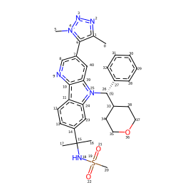 Cc1nnn(C)c1-c1cnc2c3ccc(C(C)(C)NS(C)(=O)=O)cc3n([C@H](c3ccccc3)C3CCOCC3)c2c1